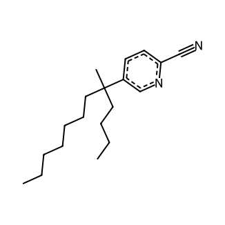 CCCCCCCC(C)(CCCC)c1ccc(C#N)nc1